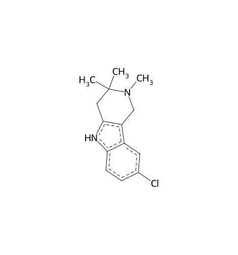 CN1Cc2c([nH]c3ccc(Cl)cc23)CC1(C)C